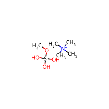 CO[Si](O)(O)O.C[N+](C)(C)C